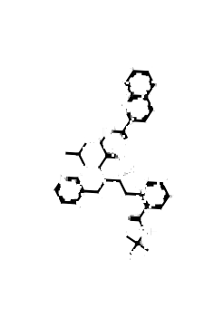 CC(C)C[C@H](NC(=O)c1ccc2ccccc2n1)C(=O)C[C@H](Cc1cccnc1)[C@H](O)Cc1ccccc1C(=O)NC(C)(C)C